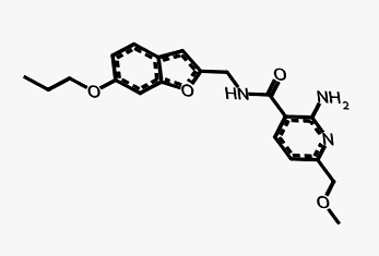 CCCOc1ccc2cc(CNC(=O)c3ccc(COC)nc3N)oc2c1